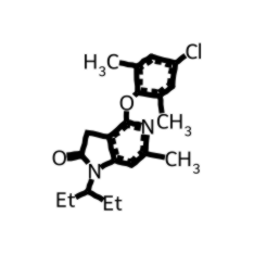 CCC(CC)N1C(=O)Cc2c1cc(C)nc2Oc1c(C)cc(Cl)cc1C